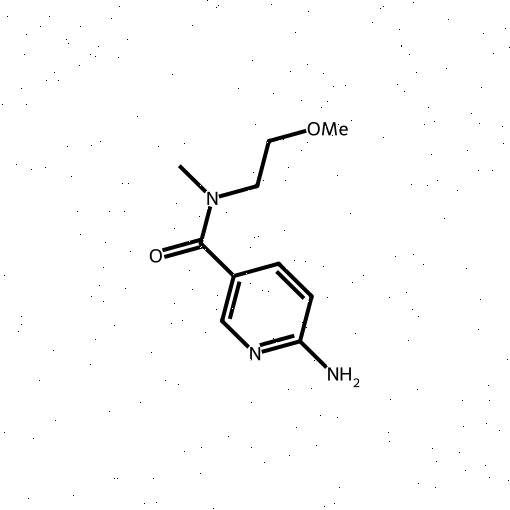 COCCN(C)C(=O)c1ccc(N)nc1